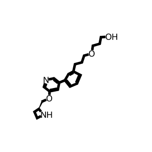 OCCCOCCCc1cccc(-c2cncc(OC[C@@H]3CCN3)c2)c1